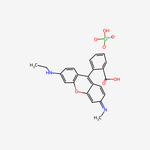 CCNc1ccc2c(-c3ccccc3C(=O)O)c3ccc(=NC)cc-3oc2c1.[O-][Cl+3]([O-])([O-])O